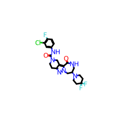 O=C1NCC(N2CCC(F)(F)CC2)Cn2nc3c(c21)CN(C(=O)Nc1ccc(F)c(Cl)c1)CC3